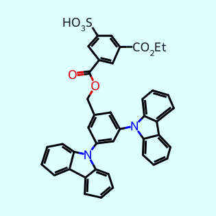 CCOC(=O)c1cc(C(=O)OCc2cc(-n3c4ccccc4c4ccccc43)cc(-n3c4ccccc4c4ccccc43)c2)cc(S(=O)(=O)O)c1